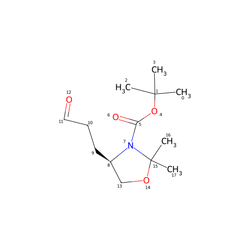 CC(C)(C)OC(=O)N1[C@H](CCC=O)COC1(C)C